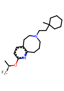 C[C@@H](Oc1ccc2c(n1)CCCN(CCC1(C)CCCCC1)CC2)C(F)(F)F